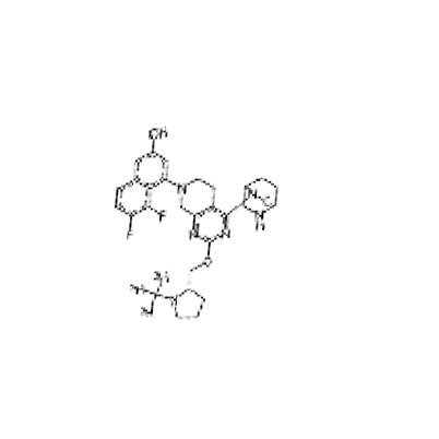 [2H]C([2H])([2H])N1CCC[C@H]1COc1nc2c(c(N3CC4CCC3CN4)n1)CCN(c1cc(O)cc3ccc(F)c(F)c13)C2